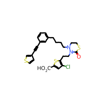 O=C(O)c1cc(Cl)c(CCN2C(=O)SCCN2CCCCc2cccc(C#Cc3ccsc3)c2)s1